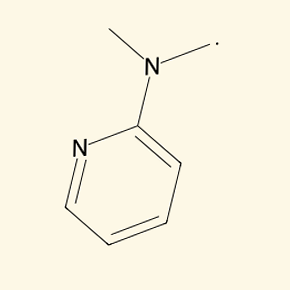 [CH2]N(C)c1ccccn1